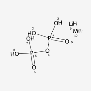 O=P(O)(O)OP(=O)(O)O.[LiH].[Mn]